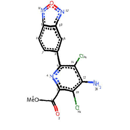 COC(=O)c1nc(-c2ccc3nonc3c2)c(Cl)c(N)c1Cl